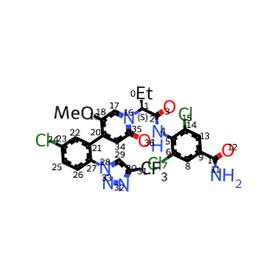 CC[C@@H](C(=O)Nc1c(Cl)cc(C(N)=O)cc1Cl)n1cc(OC)c(-c2cc(Cl)ccc2-n2cc(C(F)(F)F)nn2)cc1=O